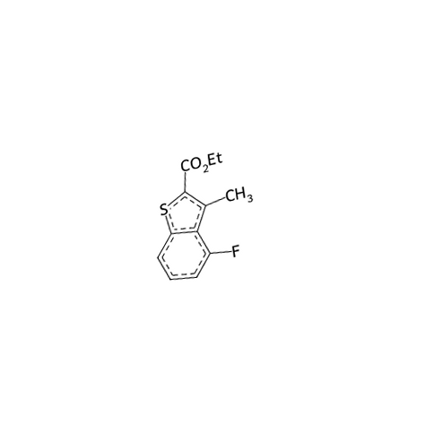 CCOC(=O)c1sc2cccc(F)c2c1C